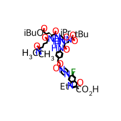 CCn1cc(C(=O)O)c(=O)c2cc(F)c(N3CCN(C(=O)OCc4ccc(NC(=O)[C@H](CNC(=O)OC(C)(C)C)NC(=O)[C@@H](NC(=O)[C@H](CCC(=O)OCC(C)C)NC(=O)CCCC(=O)N(C)C)C(C)C)cc4)CC3)cc21